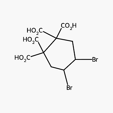 O=C(O)C1(C(=O)O)CC(Br)C(Br)CC1(C(=O)O)C(=O)O